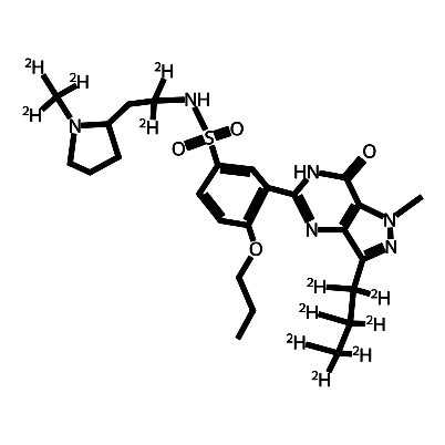 [2H]C([2H])(CC1CCCN1C([2H])([2H])[2H])NS(=O)(=O)c1ccc(OCCC)c(-c2nc3c(C([2H])([2H])C([2H])([2H])C([2H])([2H])[2H])nn(C)c3c(=O)[nH]2)c1